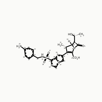 C[C@@H](O)[C@H]1C(=O)N2C(C(=O)O)=C(c3cn4cnc(S(=O)(=O)NCc5ccc(N)cc5)c4s3)[C@H](C)[C@H]12